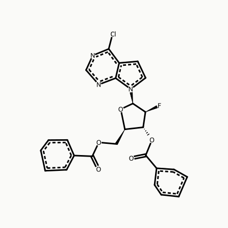 O=C(OC[C@H]1O[C@@H](n2ccc3c(Cl)ncnc32)[C@@H](F)[C@@H]1OC(=O)c1ccccc1)c1ccccc1